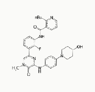 CCCCc1ncccc1C(=O)Nc1cccc(-c2cn(C)c(=O)c(Nc3ccc(N4CCC(O)CC4)cc3)n2)c1F